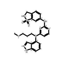 COCCCN(c1ccnc(Nc2ccc3c(c2)S(=O)(=O)NC3)n1)c1cccc2[nH]ncc12